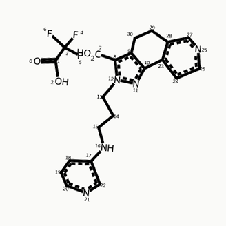 O=C(O)C(F)(F)F.O=C(O)c1c2c(nn1CCCNc1cccnc1)-c1ccncc1CC2